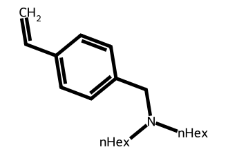 C=Cc1ccc(CN(CCCCCC)CCCCCC)cc1